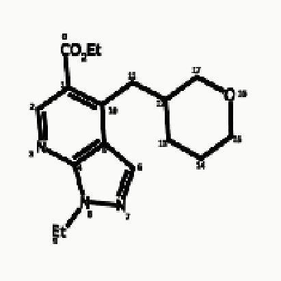 CCOC(=O)c1cnc2c(cnn2CC)c1CC1CCCOC1